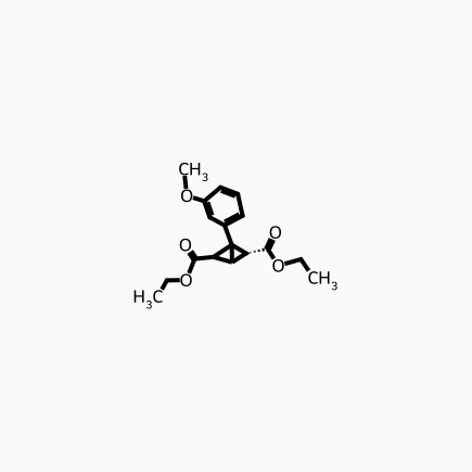 CCOC(=O)C1C2[C@@H](C(=O)OCC)C12c1cccc(OC)c1